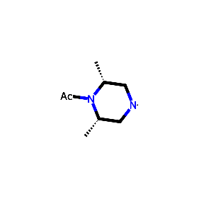 CC(=O)N1[C@H](C)C[N]C[C@@H]1C